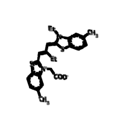 CCC(/C=C1\Sc2ccc(C)cc2N1CC)=C\c1sc2ccc(C)cc2[n+]1CC(=O)[O-]